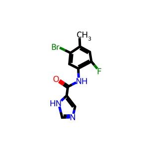 Cc1cc(F)c(NC(=O)c2cnc[nH]2)cc1Br